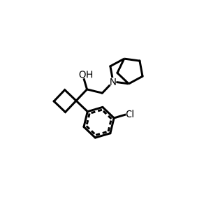 OC(CN1CC2CCC1C2)C1(c2cccc(Cl)c2)CCC1